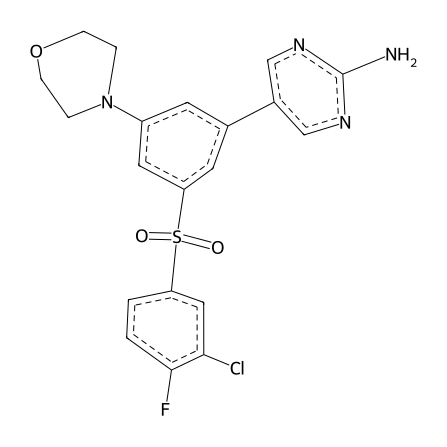 Nc1ncc(-c2cc(N3CCOCC3)cc(S(=O)(=O)c3ccc(F)c(Cl)c3)c2)cn1